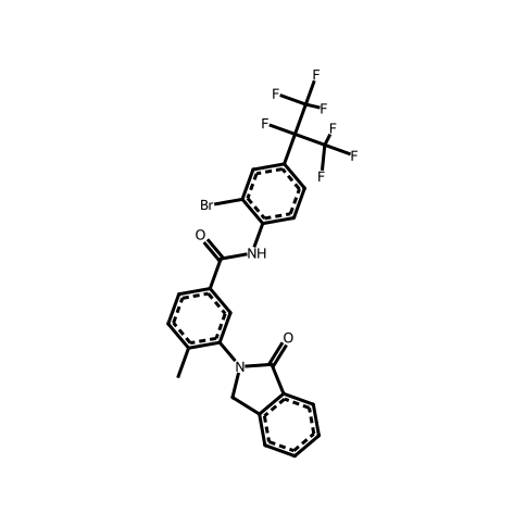 Cc1ccc(C(=O)Nc2ccc(C(F)(C(F)(F)F)C(F)(F)F)cc2Br)cc1N1Cc2ccccc2C1=O